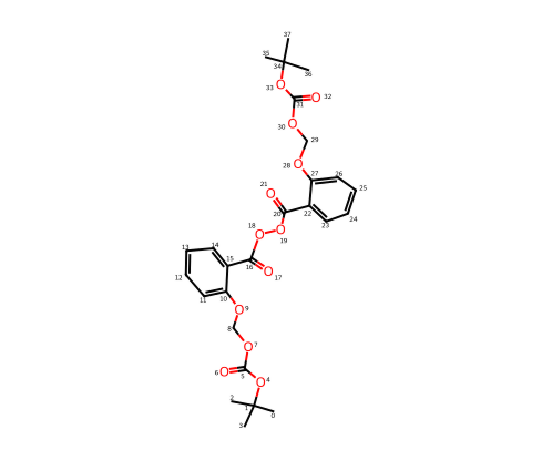 CC(C)(C)OC(=O)OCOc1ccccc1C(=O)OOC(=O)c1ccccc1OCOC(=O)OC(C)(C)C